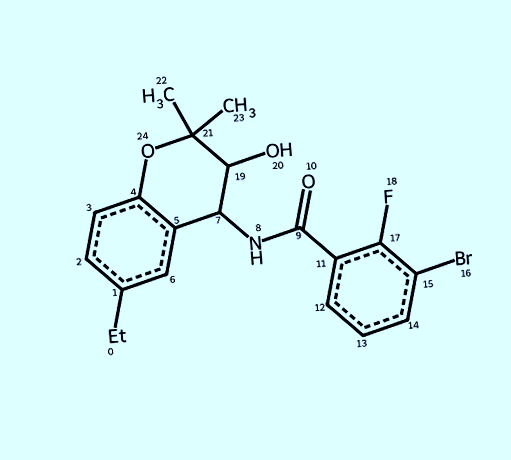 CCc1ccc2c(c1)C(NC(=O)c1cccc(Br)c1F)C(O)C(C)(C)O2